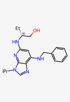 CC[C@H](CO)Nc1cc(NCc2ccccc2)c2ncn(C(C)C)c2n1